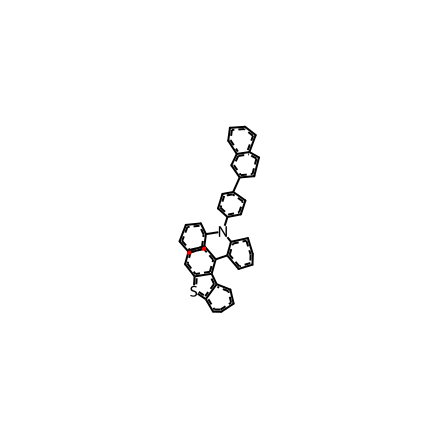 c1ccc(N(c2ccc(-c3ccc4ccccc4c3)cc2)c2ccccc2-c2cccc3sc4ccccc4c23)cc1